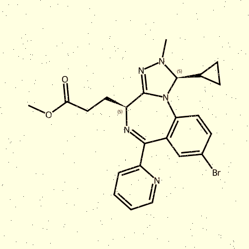 COC(=O)CC[C@@H]1N=C(c2ccccn2)c2cc(Br)ccc2N2C1=NN(C)[C@H]2C1CC1